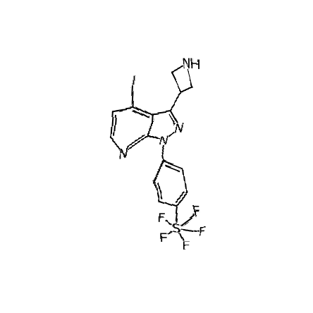 FS(F)(F)(F)(F)c1ccc(-n2nc(C3CNC3)c3c(I)ccnc32)cc1